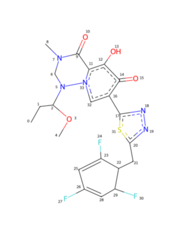 CCC(OC)N1CN(C)C(=O)c2c(O)c(=O)c(-c3nnc(CC4C(F)=CC(F)=CC4F)s3)cn21